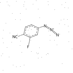 N#Cc1ccc(N=[N+]=[N-])cc1F